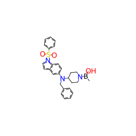 CB(O)N1CCC(N(Cc2ccccc2)c2ccc3c(ccn3S(=O)(=O)c3ccccc3)c2)CC1